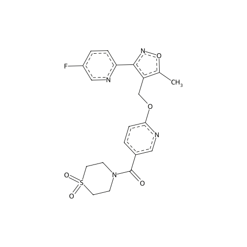 Cc1onc(-c2ccc(F)cn2)c1COc1ccc(C(=O)N2CCS(=O)(=O)CC2)cn1